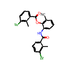 Cc1c(Br)cccc1C(=O)Nc1cccc(C#N)c1OC(=O)c1cccc(Br)c1C